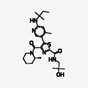 CCC(C)(C)Nc1cc(C)c(-c2sc(C(=O)NCC(C)(C)O)nc2C(=O)N2CCCC[C@@H]2C)cn1